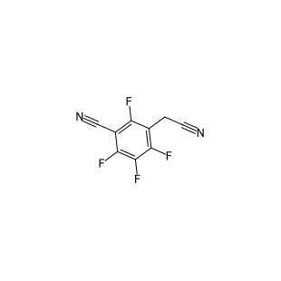 N#CCc1c(F)c(F)c(F)c(C#N)c1F